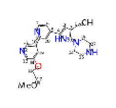 C#Cc1cc(-c2ccnc(-c3cncc(OCCOC)c3)c2)[nH]c1N1CCNCC1